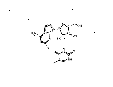 Nc1nc(F)nc2c1ncn2[C@@H]1O[C@H](CO)[C@@H](O)[C@@H]1O.O=c1[nH]cc(F)c(=O)[nH]1